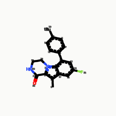 Cc1c2n(c3c(-c4ccc(C(C)(C)C)cc4)cc(F)cc13)CCNC2=O